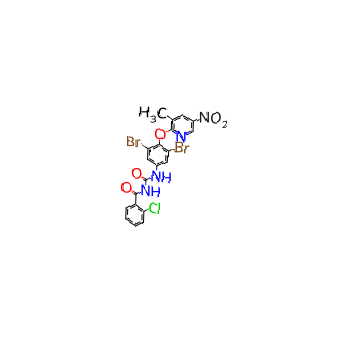 Cc1cc([N+](=O)[O-])cnc1Oc1c(Br)cc(NC(=O)NC(=O)c2ccccc2Cl)cc1Br